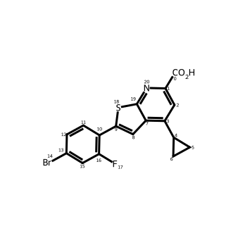 O=C(O)c1cc(C2CC2)c2cc(-c3ccc(Br)cc3F)sc2n1